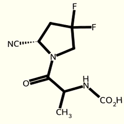 CC(NC(=O)O)C(=O)N1CC(F)(F)C[C@H]1C#N